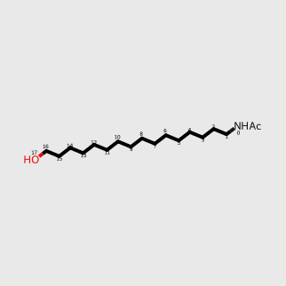 CC(=O)NCCCCCCCCCCCCCCCCO